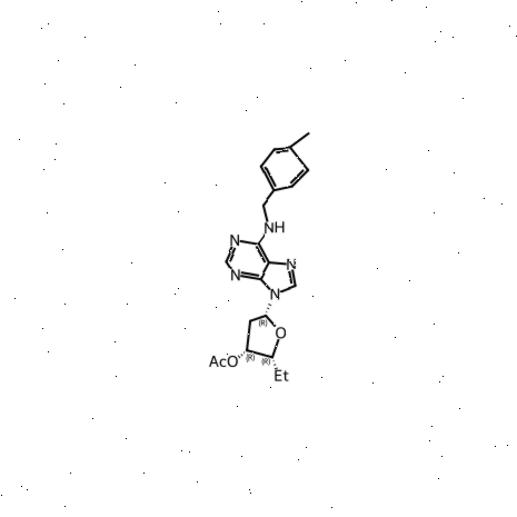 CC[C@H]1O[C@@H](n2cnc3c(NCc4ccc(C)cc4)ncnc32)C[C@H]1OC(C)=O